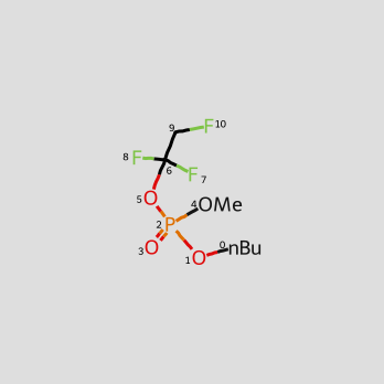 CCCCOP(=O)(OC)OC(F)(F)CF